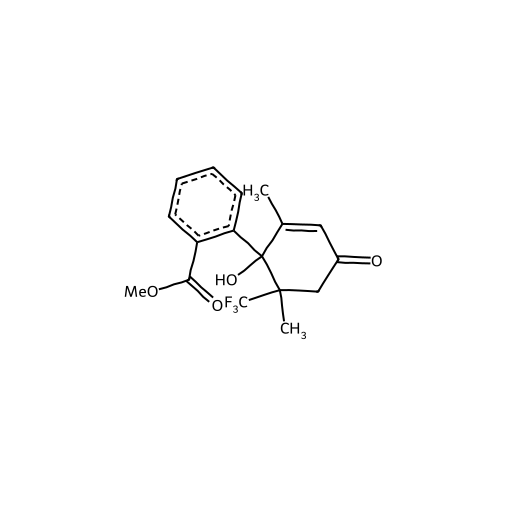 COC(=O)c1ccccc1C1(O)C(C)=CC(=O)CC1(C)C(F)(F)F